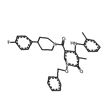 Cc1ccccc1Nc1c(C(=O)N2CCC(c3ccc(F)cc3)CC2)cn(OCc2ccccc2)c(=O)c1C